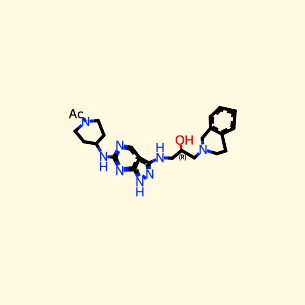 CC(=O)N1CCC(Nc2ncc3c(NC[C@@H](O)CN4CCc5ccccc5C4)n[nH]c3n2)CC1